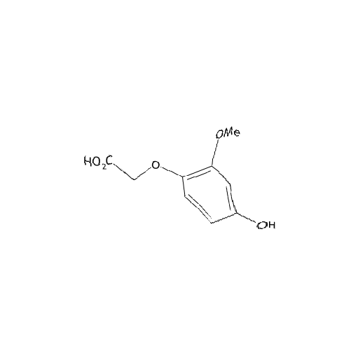 COc1cc(O)ccc1OCC(=O)O